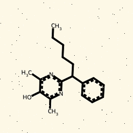 CCCCCC(c1ccccc1)c1nc(C)c(O)c(C)n1